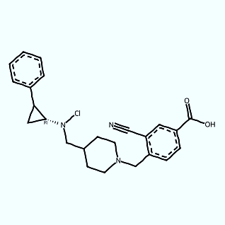 N#Cc1cc(C(=O)O)ccc1CN1CCC(CN(Cl)[C@@H]2CC2c2ccccc2)CC1